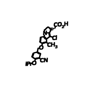 Cc1c(OCc2ccc(OC(C)C)c(C#N)c2)ccc2c1c(Cl)c1n2CC[C@@H]1CC(=O)O